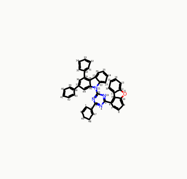 C1=CC(c2nc(-c3cccc4oc5ccccc5c34)nc(-n3c4ccccc4c4c(-c5ccccc5)cc(-c5ccccc5)cc43)n2)=CCC1